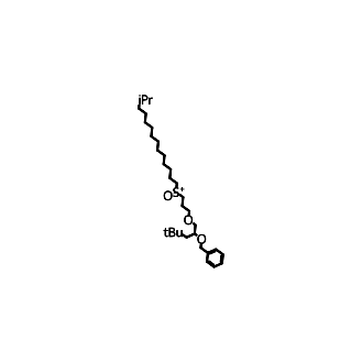 CC(C)CCCCCCCCCCCC[S+]([O-])CCCOCC(CC(C)(C)C)OCc1ccccc1